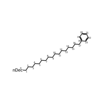 CCCCCCCCCCCCCCCCCCCCCCCCCCCc1cc[c]cc1